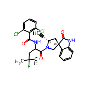 C#C[C@@H]1C[C@@]2(CN1C(=O)C(CC(C)(C)F)NC(=O)c1c(Cl)cccc1Cl)C(=O)Nc1ccccc12